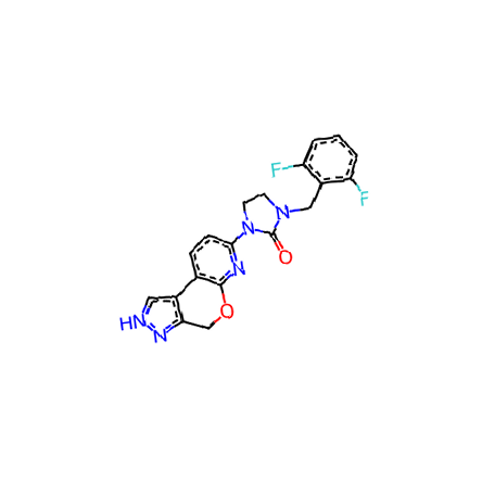 O=C1N(Cc2c(F)cccc2F)CCN1c1ccc2c(n1)OCc1n[nH]cc1-2